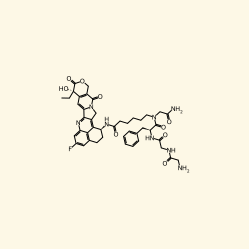 CC[C@@]1(O)C(=O)OCc2c1cc1n(c2=O)Cc2c-1nc1cc(F)cc3c1c2[C@@H](NC(=O)CCCCCN(CC(N)=O)C(=O)[C@H](Cc1ccccc1)NC(=O)CNC(=O)CN)CC3